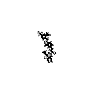 O=C(NC1(CN2C(=O)SC(=Cc3ccc4c(cnn4Cc4ccc(C(F)(F)F)cc4C(F)(F)F)c3)C2=O)CCOCC1)C1CC1